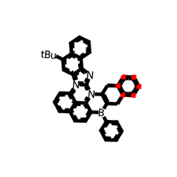 CC(C)(C)c1cc2c(nc3n4c5c(ccc6cccc(c65)n23)B(c2ccccc2)C2=C4C3c4ccccc4C2c2ccccc23)c2ccccc12